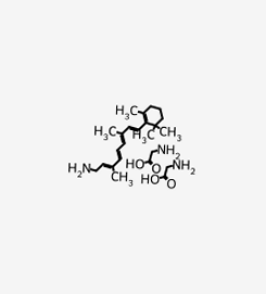 CC(C=CC1=C(C)CCCC1(C)C)=CC=CC(C)=CCN.NCC(=O)O.NCC(=O)O